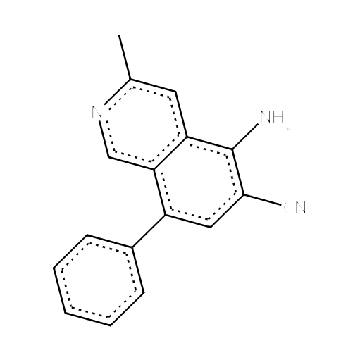 Cc1cc2c(N)c(C#N)cc(-c3ccccc3)c2cn1